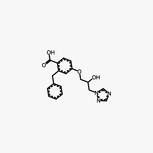 O=C(O)c1ccc(OCC(O)Cn2cncn2)cc1Cc1ccccc1